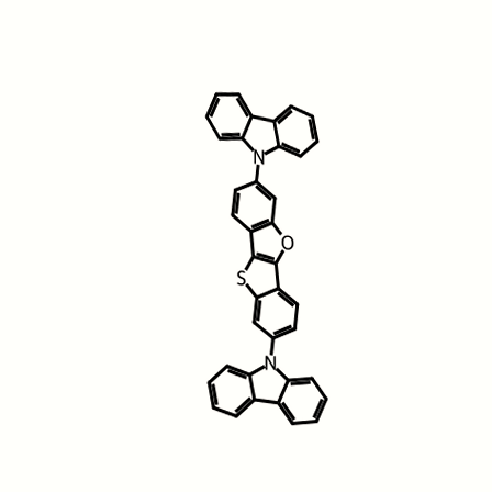 c1ccc2c(c1)c1ccccc1n2-c1ccc2c(c1)oc1c3ccc(-n4c5ccccc5c5ccccc54)cc3sc21